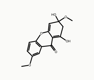 COc1ccc2oc3c(c(=O)c2c1)=C(O)CC(O)(OC)C=3